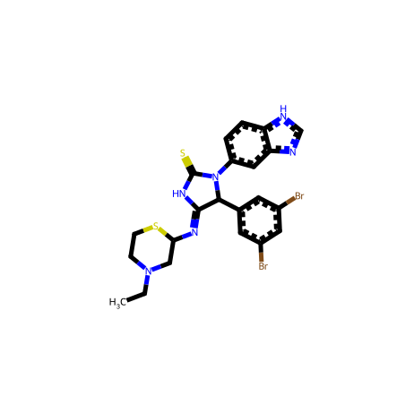 CCN1CCSC(N=C2NC(=S)N(c3ccc4[nH]cnc4c3)C2c2cc(Br)cc(Br)c2)C1